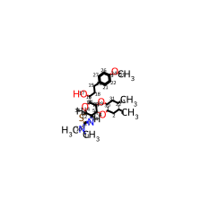 CCCCO[C@@H]1[C@H]2N=C(N(C)C)S[C@H]2O[C@H](C(O)CCc2ccc(OC)cc2)[C@H]1OCCCC